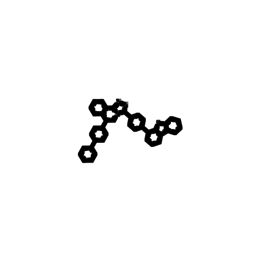 c1ccc(-c2ccc(-c3cn4c(-c5ccc(-c6cccc7c6sc6ccccc67)cc5)nnc4c4ccccc34)cc2)cc1